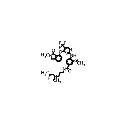 COc1cc(C(=O)NCCCN(C)C[C@H](C)F)ccc1Nc1ncc(C(F)(F)F)c(Oc2cccc3c2C(=O)N(C)C3)n1